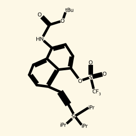 CC(C)[Si](C#Cc1cccc2c(NC(=O)OC(C)(C)C)ccc(OS(=O)(=O)C(F)(F)F)c12)(C(C)C)C(C)C